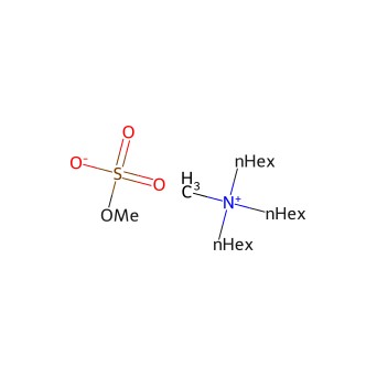 CCCCCC[N+](C)(CCCCCC)CCCCCC.COS(=O)(=O)[O-]